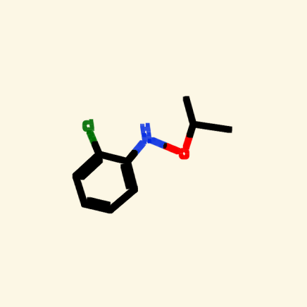 CC(C)ONc1ccccc1Cl